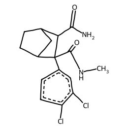 CNC(=O)C1(c2ccc(Cl)c(Cl)c2)C2CCC(C2)C1C(N)=O